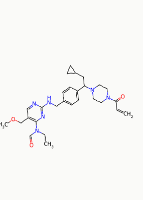 C=CC(=O)N1CCN(C(CC2CC2)c2ccc(CNc3ncc(COC)c(N(C=O)CC)n3)cc2)CC1